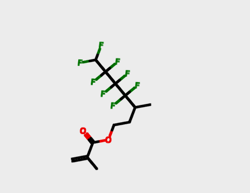 C=C(C)C(=O)OCCC(C)C(F)(F)C(F)(F)C(F)(F)C(F)F